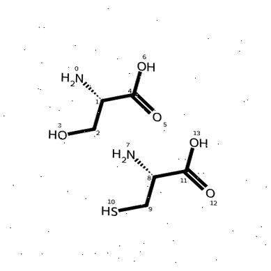 N[C@@H](CO)C(=O)O.N[C@@H](CS)C(=O)O